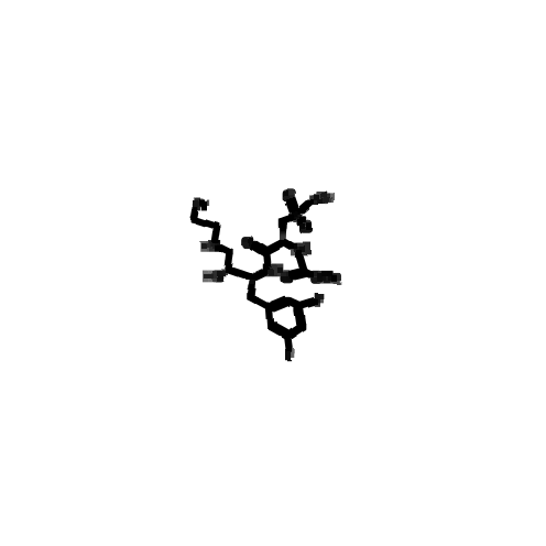 CCCCS(=O)(=O)C[C@@H](NC(=O)OC)C(=O)N[C@@H](Cc1cc(F)cc(F)c1)[C@H](O)CNCCC(C)C